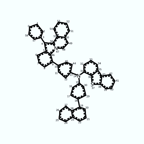 c1ccc(-c2c3cccc(-c4ccc(N(c5ccc(-c6cccc7ccccc67)cc5)c5cccc6c5sc5ccccc56)cc4)c3n3ccc4ccccc4c23)cc1